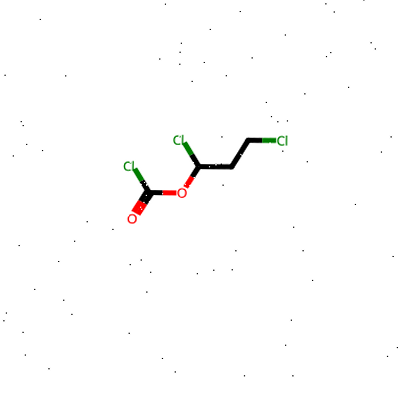 O=C(Cl)OC(Cl)CCCl